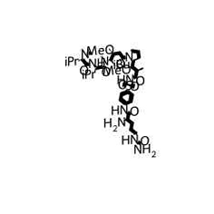 CC[C@H](C)[C@@H]([C@@H](CC(=O)N1CCC[C@H]1[C@H](OC)[C@@H](C)C(=O)NS(=O)(=O)c1ccc(NC(=O)[C@@H](N)CCCNC(N)=O)cc1)OC)N(C)C(=O)[C@@H](NC(=O)[C@H](C(C)C)N(C)C)C(C)C